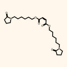 O=C(/C=C\C(=O)OCCCCCCN1CCCC1=O)OCCCCCCN1CCCC1=O